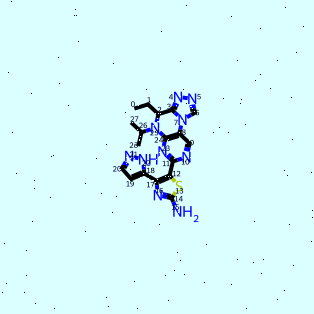 CCC1c2nncn2-c2cnc(-c3sc(N)nc3-c3ccn[nH]3)nc2N1C(C)C